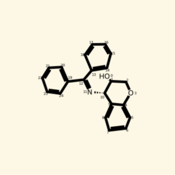 O[C@H]1COc2ccccc2[C@@H]1N=C(c1ccccc1)c1ccccc1